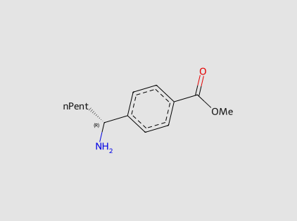 CCCCC[C@@H](N)c1ccc(C(=O)OC)cc1